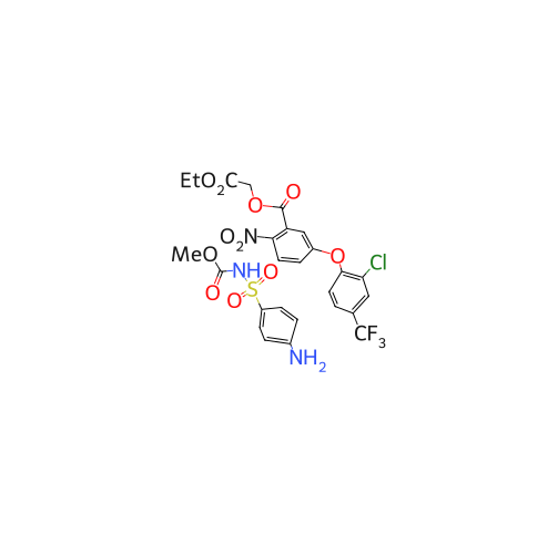 CCOC(=O)COC(=O)c1cc(Oc2ccc(C(F)(F)F)cc2Cl)ccc1[N+](=O)[O-].COC(=O)NS(=O)(=O)c1ccc(N)cc1